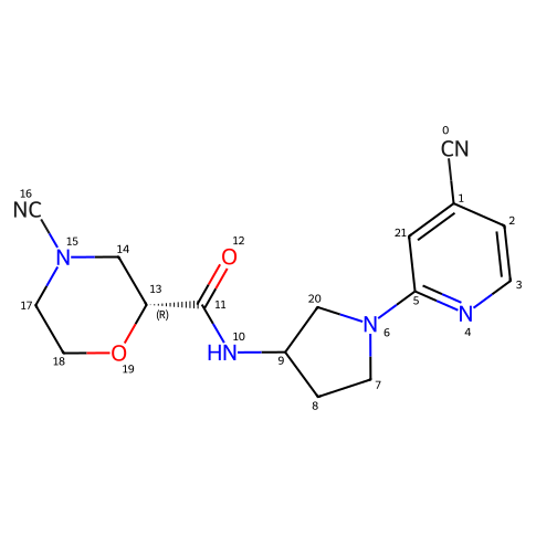 N#Cc1ccnc(N2CCC(NC(=O)[C@H]3CN(C#N)CCO3)C2)c1